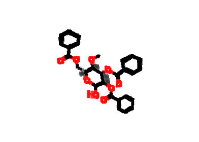 CO[C@H]1[C@H](OC(=O)c2ccccc2)[C@@H](OC(=O)c2ccccc2)C(O)O[C@@H]1COC(=O)c1ccccc1